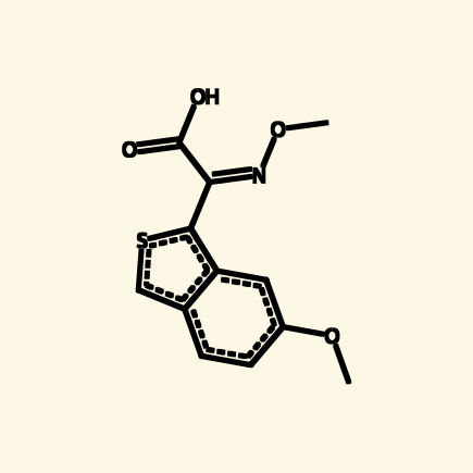 CON=C(C(=O)O)c1scc2ccc(OC)cc12